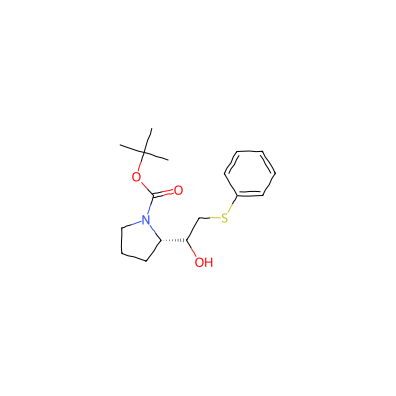 CC(C)(C)OC(=O)N1CCC[C@H]1C(O)CSc1ccccc1